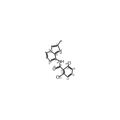 Cc1cn2ccnc(NC(=O)c3c(Cl)cccc3Cl)c2n1